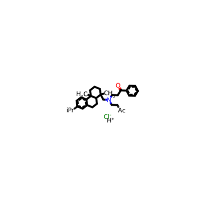 CC(=O)CCN(CCC(=O)c1ccccc1)CC1(C)CCCC2(C)c3ccc(C(C)C)cc3CCC12.[Cl-].[H+]